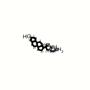 CC12CCC3c4ccc(O)cc4CCC3C1CCC2C(=O)CN(N)/C=C\N